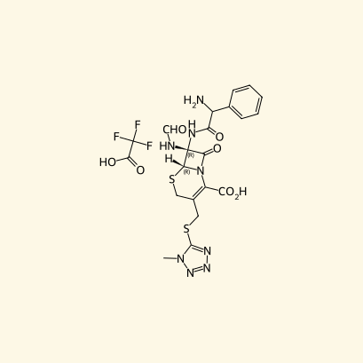 Cn1nnnc1SCC1=C(C(=O)O)N2C(=O)[C@@](NC=O)(NC(=O)C(N)c3ccccc3)[C@H]2SC1.O=C(O)C(F)(F)F